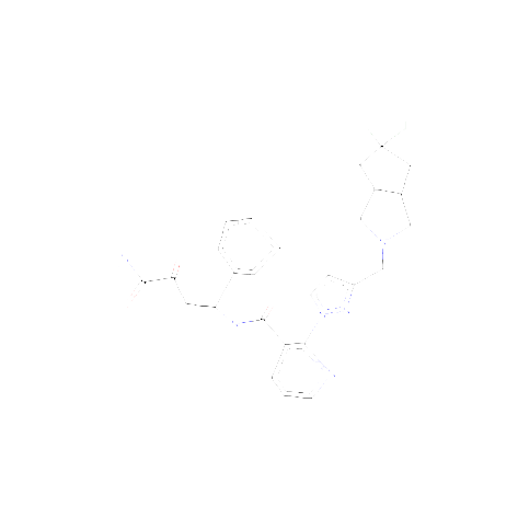 NC(=O)C(=O)CC(NC(=O)c1cccnc1-n1ccc(CN2CC3CC(F)(F)CC3C2)n1)c1ccccc1